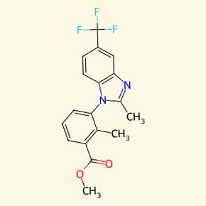 COC(=O)c1cccc(-n2c(C)nc3cc(C(F)(F)F)ccc32)c1C